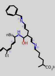 C=C/C(=C\C=C\C(CCCC)NC(O)C(/C=C/N=C/CCCC(C)C(=O)O)C/C=C/N=C/C1=CCC=CC=C1)CC